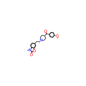 COc1ccc(C(=O)C2CCN(CCc3ccc4c(c3)oc(=O)n4C)CC2)cc1